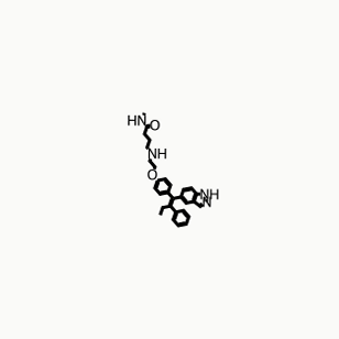 CCC(=C(c1ccc(OCCNCCCC(=O)NC)cc1)c1ccc2[nH]ncc2c1)c1ccccc1